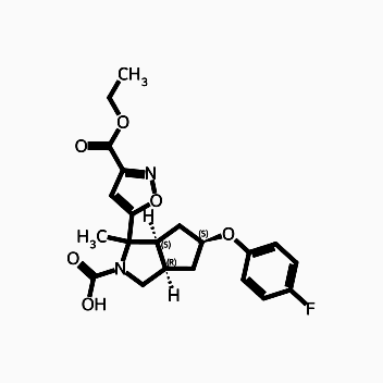 CCOC(=O)c1cc(C2(C)[C@H]3C[C@@H](Oc4ccc(F)cc4)C[C@H]3CN2C(=O)O)on1